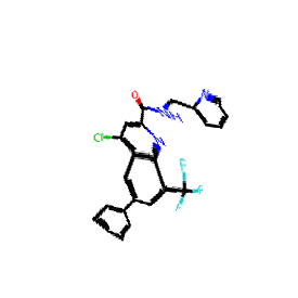 O=C(NCc1ccccn1)c1cc(Cl)c2cc(-c3ccccc3)cc(C(F)(F)F)c2n1